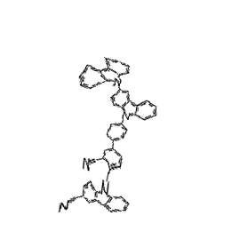 N#Cc1ccc2c(c1)c1ccccc1n2-c1ccc(-c2ccc(-n3c4ccccc4c4cc(-n5c6ccccc6c6ccccc65)ccc43)cc2)cc1C#N